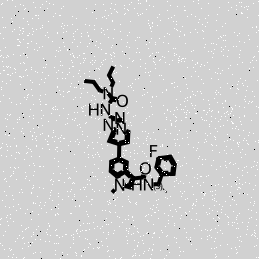 CCCN(CCC)C(=O)Nc1nc2cc(-c3ccc4c(c3)c(C(=O)N[C@@H](C)c3cccc(F)c3)cn4C)ccn2n1